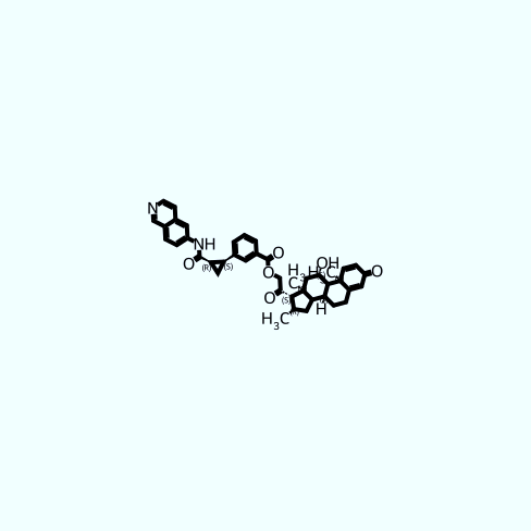 C[C@@H]1CC2[C@@H]3CCC4=CC(=O)C=C[C@]4(C)C3[C@@H](O)C[C@]2(C)[C@H]1C(=O)COC(=O)c1cccc([C@H]2C[C@H]2C(=O)Nc2ccc3cnccc3c2)c1